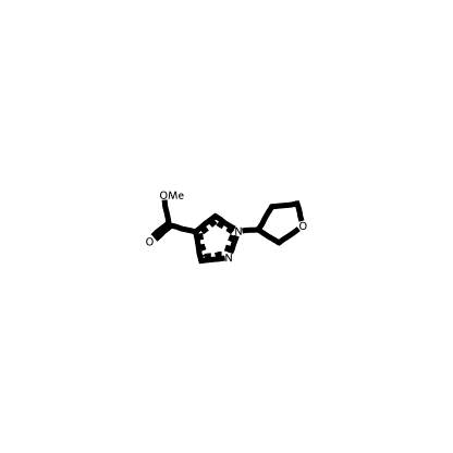 COC(=O)c1cnn(C2CCOC2)c1